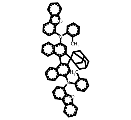 Cc1ccccc1N(c1cc2c(c3ccccc13)-c1c(cc(N(c3ccccc3C)c3cccc4c3oc3ccccc34)c3ccccc13)C21C2CC3CC(C2)CC1C3)c1cccc2c1oc1ccccc12